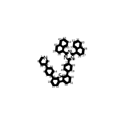 c1cncc(-c2ccc(-c3cccc4c3sc3c(-c5ccc(-c6nc(-c7cccc8ccccc78)nc(-c7cccc8ccccc78)n6)cc5)cccc34)cc2)c1